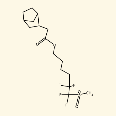 CS(=O)(=O)C(F)(F)C(F)(F)CCCCOC(=O)CC1CC2CCC1C2